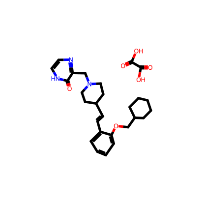 O=C(O)C(=O)O.O=c1[nH]ccnc1CN1CCC(C=Cc2ccccc2OCC2CCCCC2)CC1